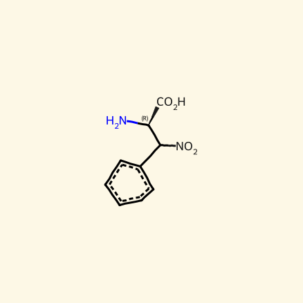 N[C@@H](C(=O)O)C(c1ccccc1)[N+](=O)[O-]